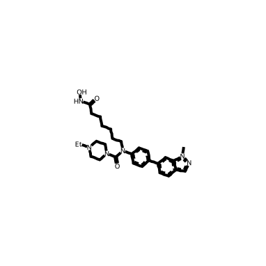 CCN1CCN(C(=O)N(CCCCCCC(=O)NO)c2ccc(-c3ccc4cnn(C)c4c3)cc2)CC1